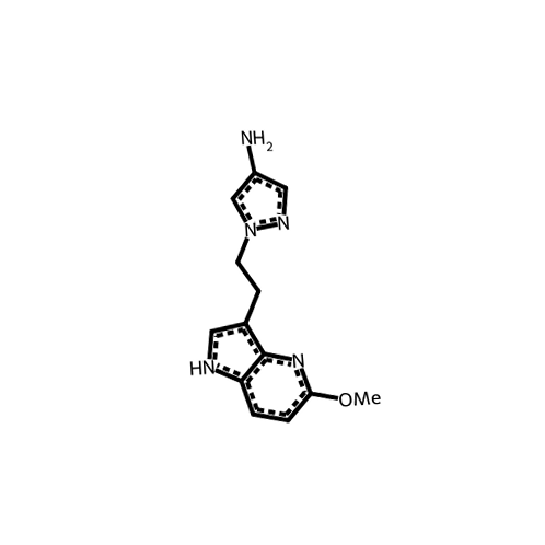 COc1ccc2[nH]cc(CCn3cc(N)cn3)c2n1